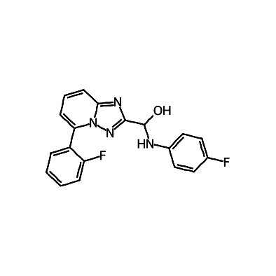 OC(Nc1ccc(F)cc1)c1nc2cccc(-c3ccccc3F)n2n1